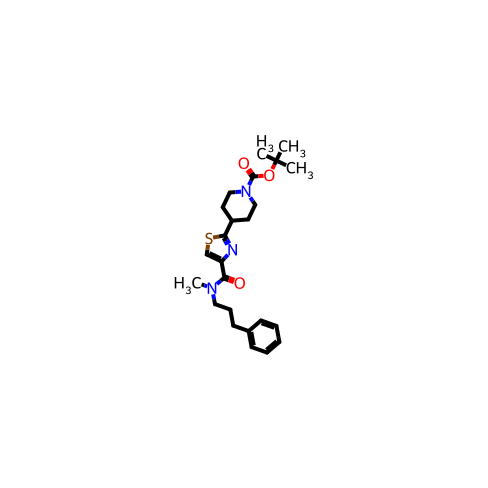 CN(CCCc1ccccc1)C(=O)c1csc(C2CCN(C(=O)OC(C)(C)C)CC2)n1